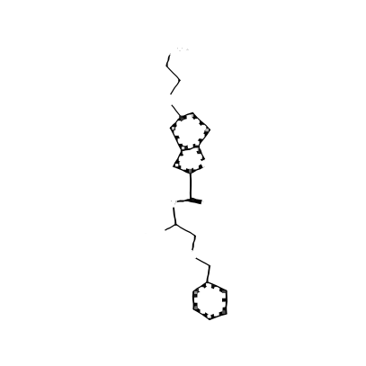 COCCOc1ccc2oc(C(=O)NC(COCc3ccccc3)C(=O)O)cc2c1